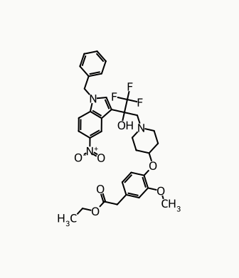 CCOC(=O)Cc1ccc(OC2CCN(CC(O)(c3cn(Cc4ccccc4)c4ccc([N+](=O)[O-])cc34)C(F)(F)F)CC2)c(OC)c1